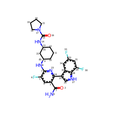 NC(=O)c1cc(F)c(N[C@@H]2CCC[C@H](NC(=O)N3CCCC3)C2)nc1-c1c[nH]c2c(F)cc(F)cc12